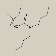 CCC(=O)I.CCCCN(CCCC)C(=O)O